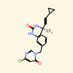 O=C1Nc2cc(Cn3cnc(Cl)cc3=O)ccc2[C@@](C#CC2CC2)(C(F)(F)F)N1